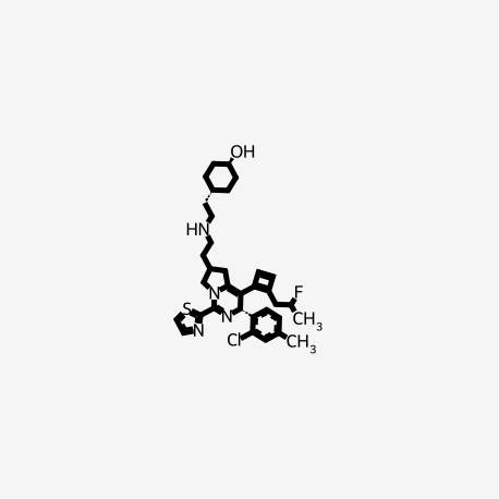 Cc1ccc([C@@H]2N=C(c3nccs3)N3CC(CCNCC[C@H]4CC[C@H](O)CC4)CC3=C2C2=C(CC(C)F)C=C2)c(Cl)c1